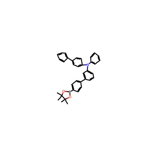 CC1(C)OB(c2ccc(-c3cccc(N(c4ccccc4)c4ccc(-c5ccccc5)cc4)c3)cc2)OC1(C)C